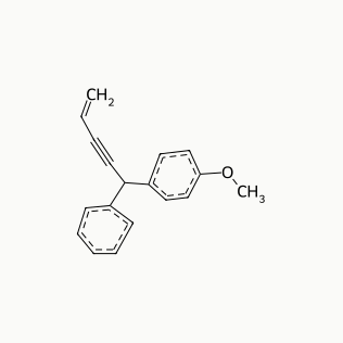 C=CC#CC(c1ccccc1)c1ccc(OC)cc1